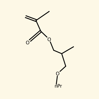 C=C(C)C(=O)OCC(C)COCCC